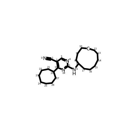 N#Cc1cnc(NC2CCCCCCCCCC2)nc1C1CCCCCCC1